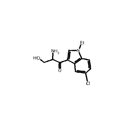 CCn1cc(C(=O)C(N)CO)c2cc(Cl)ccc21